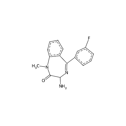 CN1C(=O)C(N)N=C(c2cccc(F)c2)c2ccccc21